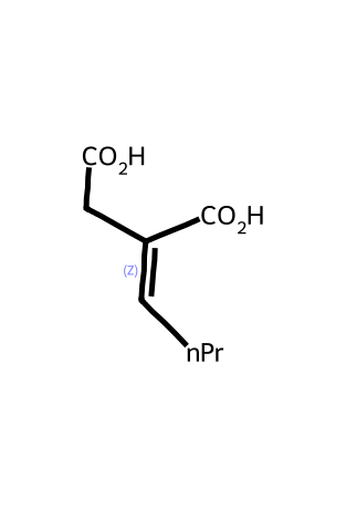 CCC/C=C(/CC(=O)O)C(=O)O